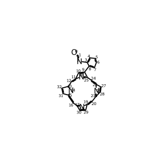 O=C=Nc1ccccc1C1=CC2=CC3=NC(=CC4=NC(=CC5=NC(=CC1=N2)C=C5)C=C4)C=C3